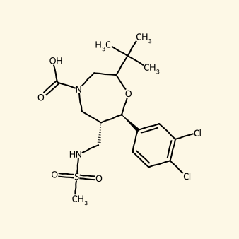 CC(C)(C)C1CN(C(=O)O)C[C@@H](CNS(C)(=O)=O)[C@H](c2ccc(Cl)c(Cl)c2)O1